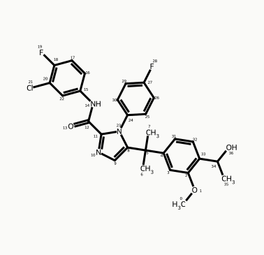 COc1cc(C(C)(C)c2cnc(C(=O)Nc3ccc(F)c(Cl)c3)n2-c2ccc(F)cc2)ccc1C(C)O